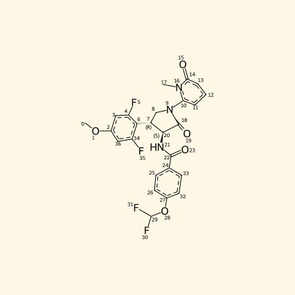 COc1cc(F)c([C@@H]2CN(c3cccc(=O)n3C)C(=O)[C@H]2NC(=O)c2ccc(OC(F)F)cc2)c(F)c1